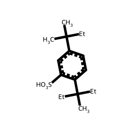 CCC(C)(C)c1ccc(C(C)(CC)CC)c(S(=O)(=O)O)c1